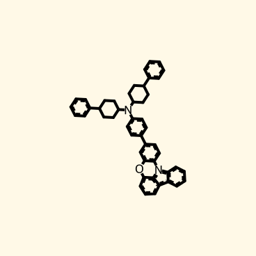 c1ccc(C2CCC(N(c3ccc(-c4ccc5c(c4)Oc4cccc6c7ccccc7n-5c46)cc3)C3CCC(c4ccccc4)CC3)CC2)cc1